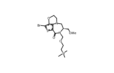 COC[C@@H]1CN2CCOc3c(Br)sc(c32)C(=O)N1COCC[Si](C)(C)C